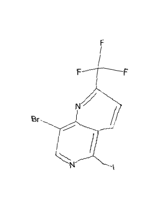 FC(F)(F)c1ccc2c(I)ncc(Br)c2n1